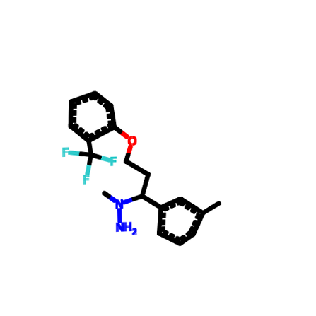 Cc1cccc(C(CCOc2ccccc2C(F)(F)F)N(C)N)c1